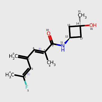 C=C(/C=C(\C)F)/C=C(\C)C(=O)N[C@H]1C[C@@](C)(O)C1